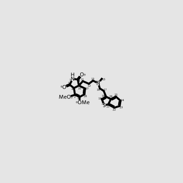 COC1=C(OC)C2C(=O)NC(=O)C2(CCCN(C)CCc2csc3ccccc23)C=C1